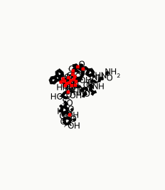 CCN(C(=O)OCc1ccc(NC(=O)[C@H](CCCNC(N)=O)NC(=O)[C@@H](NC(=O)[C@H](CCCCNC(=O)OCC2c3ccccc3-c3ccccc32)NC(C)=O)C(C)C)cc1)[C@H]1CO[C@@H](O[C@H]2[C@H](O[C@H]3C#CC=CC#C[C@]4(O)CC(=O)C(NC(=O)OC)=C3/C4=C\CSS[C@H](C)CO)O[C@H](C)[C@@H](NO[C@H]3C[C@H](O)[C@H](SC(=O)c4c(C)c(I)c(O[C@@H]5O[C@@H](C)[C@H](O)[C@@H](OC)[C@H]5O)c(OC)c4OC)[C@@H](C)O3)[C@@H]2O)C[C@@H]1OC